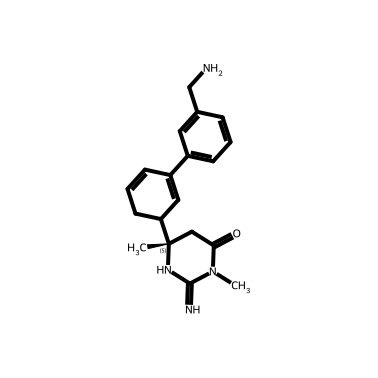 CN1C(=N)N[C@](C)(C2C=C(c3cccc(CN)c3)C=CC2)CC1=O